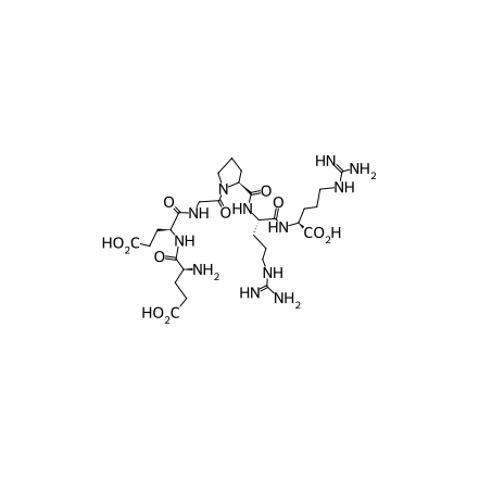 N=C(N)NCCC[C@H](NC(=O)[C@H](CCCNC(=N)N)NC(=O)[C@@H]1CCCN1C(=O)CNC(=O)[C@H](CCC(=O)O)NC(=O)[C@@H](N)CCC(=O)O)C(=O)O